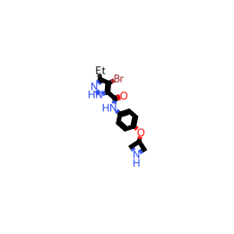 CCc1n[nH]c(C(=O)Nc2ccc(OC3CNC3)cc2)c1Br